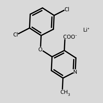 Cc1cc(Oc2cc(Cl)ccc2Cl)c(C(=O)[O-])cn1.[Li+]